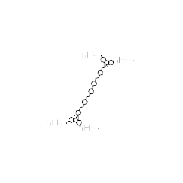 CCCCCCc1ccc2c(c1)c1cc(CCCCCC)ccc1n2/C=C/c1ccc(/C=C/c2ccc(-c3ccc(/C=C/c4ccc(/C=C/c5ccc(-n6c7ccc(CCCCCC)cc7c7cc(CCCCCC)ccc76)cc5)cc4)cc3)cc2)cc1